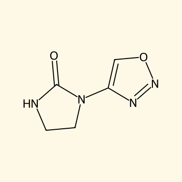 O=C1NCCN1c1conn1